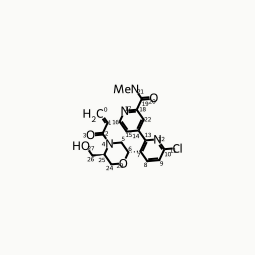 C=CC(=O)N1C[C@H](c2ccc(Cl)nc2-c2ccnc(C(=O)NC)c2)OC[C@H]1CO